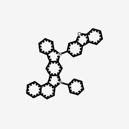 c1ccc(-n2c3cc4c(cc3c3c5ccccc5ccc32)c2ccccc2n4-c2ccc3c(c2)oc2ccccc23)cc1